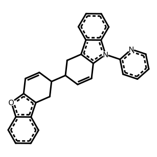 C1=CC(C2C=Cc3c(c4ccccc4n3-c3ccccn3)C2)Cc2c1oc1ccccc21